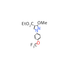 CCOC(=O)c1cn(-c2ccc(OC(F)(F)F)cc2)nc1OC